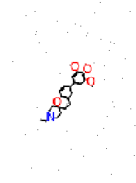 CCN1CCC2(CCc3cc(-c4cc(OC)c(OC)c(OC)c4)ccc3O2)CC1